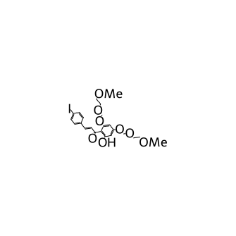 COCCOCOc1cc(O)c(C(=O)C=Cc2ccc(I)cc2)c(OCOCCOC)c1